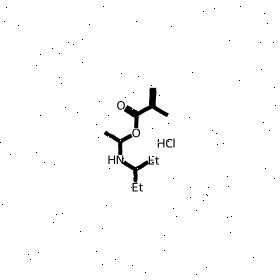 C=C(C)C(=O)OC(C)NC(CC)CC.Cl